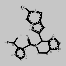 Cc1ccc2cc(C3c4nc[nH]c4CCN3C(=O)c3ocnc3C(F)F)nn2c1